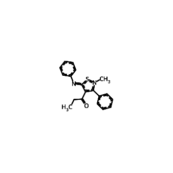 CCC(=O)c1c(-c2ccccc2)n(C)sc1=Nc1ccccc1